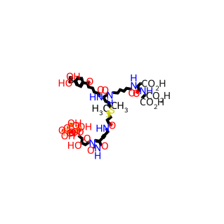 CC(C)(CCC(NC(=O)CCCC(=O)c1ccc(B(O)O)cc1)C(=O)NCCCCCC(=O)NC(CC(=O)O)C(=O)NC(CC(=O)O)C(=O)O)SSCCC(=O)NCC#Cc1cn(C2CC(O)C(COP(=O)(O)OP(=O)(O)OP(=O)(O)O)O2)c(=O)[nH]c1=O